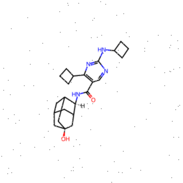 O=C(N[C@H]1C2CC3CC1C[C@@](O)(C3)C2)c1cnc(NC2CCC2)nc1C1CCC1